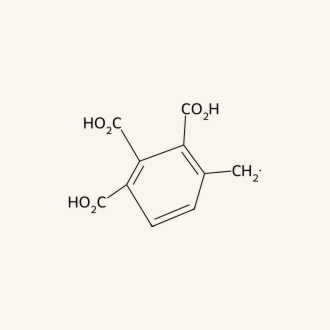 [CH2]c1ccc(C(=O)O)c(C(=O)O)c1C(=O)O